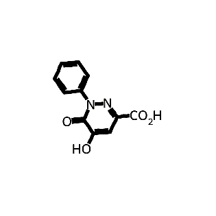 O=C(O)c1cc(O)c(=O)n(-c2ccccc2)n1